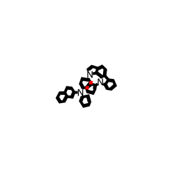 c1ccc(N(c2ccc(-n3ccc4ccc5c6ccccc6n(-c6ccccc6)c5c43)cc2)c2ccc3ccccc3c2)cc1